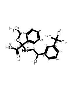 CCOC(NCC(O)c1cccc(C(F)(F)F)c1)(C(=O)O)c1ccccc1